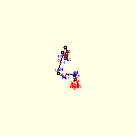 CCN1CCCc2cc3c(-c4ccccc4C(=O)NCCCC(=O)NCCCCCNC(=O)c4cccc(OCC(N=[N+]=[N-])OCC(=O)NCC#Cc5cn([C@H]6CC(OCN=[N+]=[N-])[C@@H](COP(=O)(O)OP(=O)(O)OP(=O)(O)O)O6)c(=O)nc5N)c4)c(-c4nc5ccccc5s4)c(=O)oc3cc21